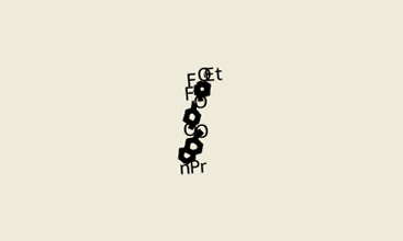 CCCC1CCC2CC(C(=O)OC3CCC(COc4ccc(OCC)c(F)c4F)CC3)CCC2C1